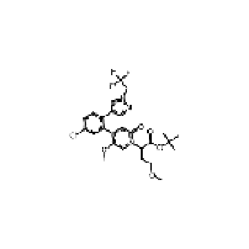 COCCC(C(=O)OC(C)(C)C)n1cc(OC)c(-c2cc(Cl)ccc2-c2cnn(CC(F)(F)F)c2)cc1=O